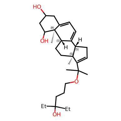 CCC(O)(CC)CCCOC(C)(C)C1=CC[C@H]2C3=CC=C4CC(O)CC(O)[C@]4(C)[C@H]3CC[C@]12C